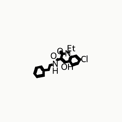 CCn1c(=O)c(C(=O)NCCc2ccccc2)c(O)c2ccc(Cl)cc21